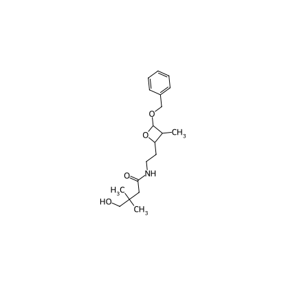 CC1C(CCNC(=O)CC(C)(C)CO)OC1OCc1ccccc1